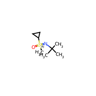 CC(C)(C)N=[S@](C)(=O)C1CC1